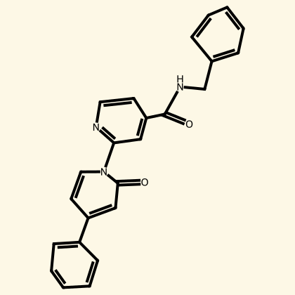 O=C(NCc1ccccc1)c1ccnc(-n2ccc(-c3ccccc3)cc2=O)c1